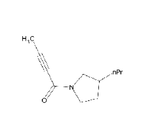 CC#CC(=O)N1CCC(CCC)C1